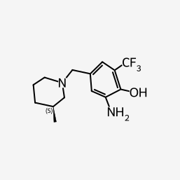 C[C@H]1CCCN(Cc2cc(N)c(O)c(C(F)(F)F)c2)C1